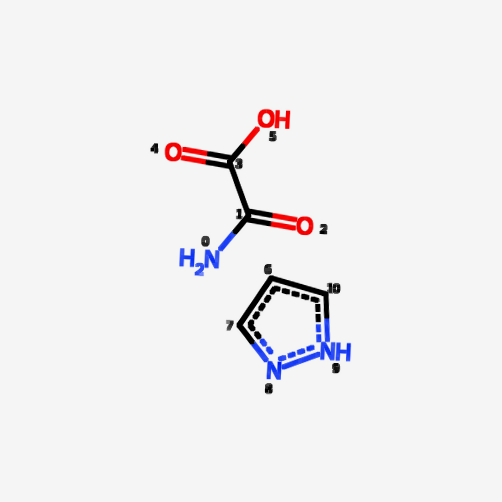 NC(=O)C(=O)O.c1cn[nH]c1